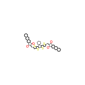 O=C1C(=Cc2cc3sc4c(c3s2)C2(CCCCC2)c2c-4sc3cc(C=C4C(=O)c5cc6cc7ccccc7cc6cc5C4=O)sc23)C(=O)c2cc3cc4ccccc4cc3cc21